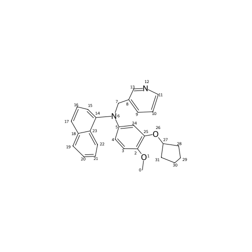 COc1ccc(N(Cc2cccnc2)c2cccc3ccccc23)cc1OC1CCCC1